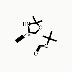 C#C[C@H]1COC(C)(C)N1.CC(C)(C)OC=O